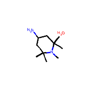 CN1C(C)(C)CC(N)CC1(C)C.O